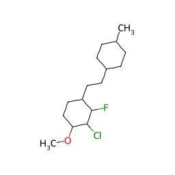 COC1CCC(CCC2CCC(C)CC2)C(F)C1Cl